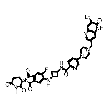 CCc1cc2ncc(CN3CCN(c4ccc(C(=O)NC5CC(Nc6cc7c(cc6F)C(=O)N([C@@H]6CCC(=O)NC6=O)C7=O)C5)nc4)CC3)cc2[nH]c1=O